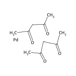 CC(=O)CC(C)=O.CC(=O)CC(C)=O.[Pd]